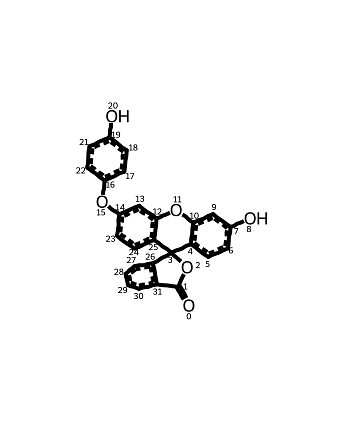 O=C1OC2(c3ccc(O)cc3Oc3cc(Oc4ccc(O)cc4)ccc32)c2ccccc21